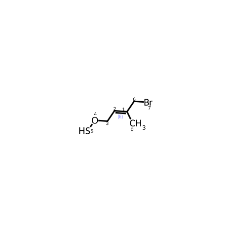 C/C(=C\COS)CBr